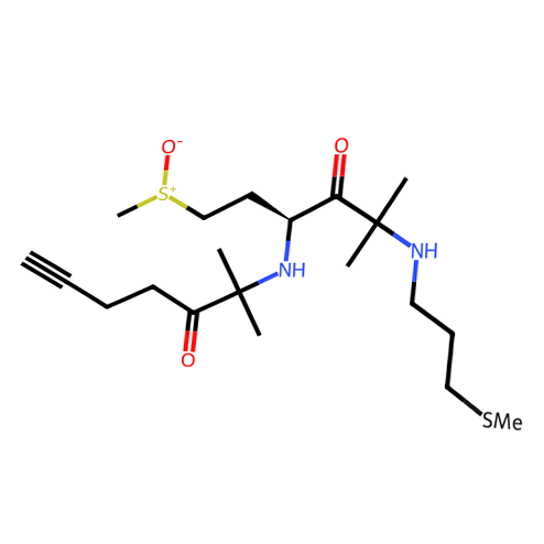 C#CCCC(=O)C(C)(C)N[C@@H](CC[S+](C)[O-])C(=O)C(C)(C)NCCCSC